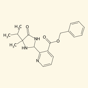 CC(C)C1(C)NC(c2ncccc2C(=O)OCc2ccccc2)NC1=O